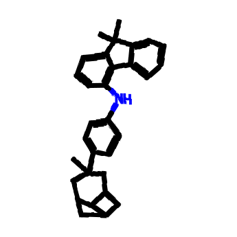 CC1(c2ccc(Nc3cccc4c3-c3ccccc3C4(C)C)cc2)CC2CC3CC(C1)C32